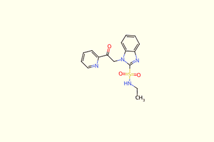 CCNS(=O)(=O)c1nc2ccccc2n1CC(=O)c1ccccn1